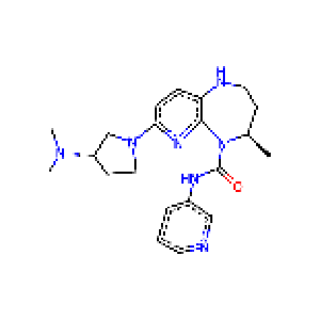 C[C@@H]1CCNc2ccc(N3CC[C@H](N(C)C)C3)nc2N1C(=O)Nc1cccnc1